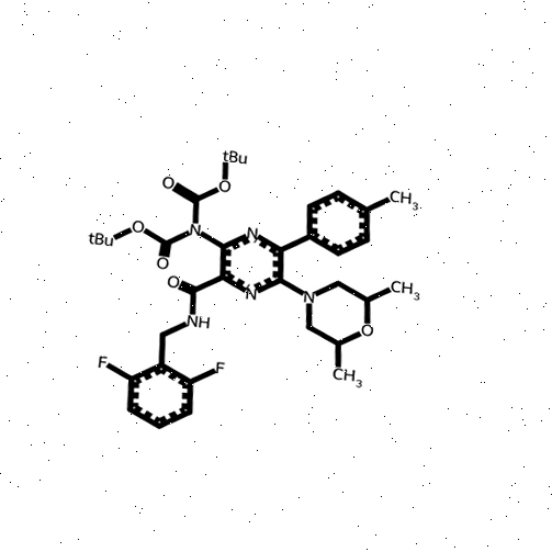 Cc1ccc(-c2nc(N(C(=O)OC(C)(C)C)C(=O)OC(C)(C)C)c(C(=O)NCc3c(F)cccc3F)nc2N2CC(C)OC(C)C2)cc1